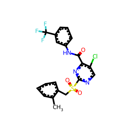 Cc1ccccc1CS(=O)(=O)c1ncc(Cl)c(C(=O)Nc2cccc(C(F)(F)F)c2)n1